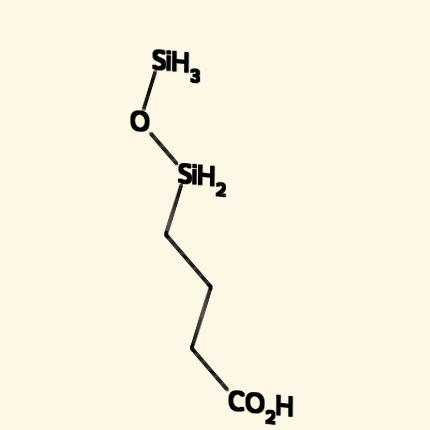 O=C(O)CCC[SiH2]O[SiH3]